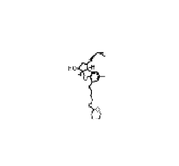 Cc1cc(CCCCOC2CCCCO2)c2c(c1)[C@H]1C(C#CC=O)CC(O)[C@H]1O2